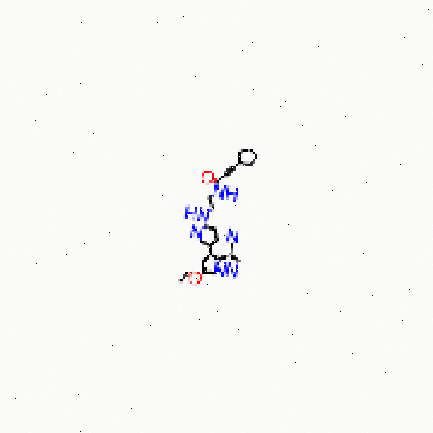 CCOc1cc(-c2ccc(NCCNC(=O)C#CC3CCCC3)nc2)c2c(C#N)cnn2c1